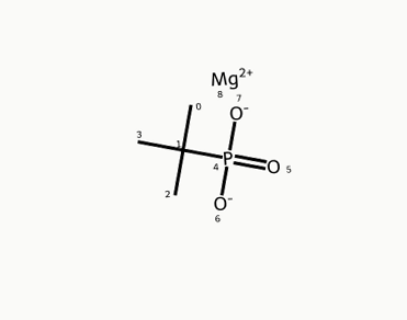 CC(C)(C)P(=O)([O-])[O-].[Mg+2]